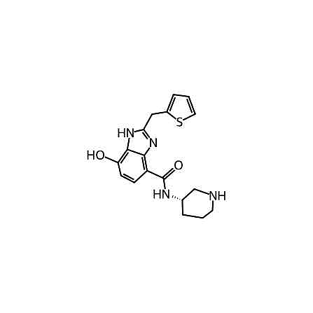 O=C(N[C@H]1CCCNC1)c1ccc(O)c2[nH]c(Cc3cccs3)nc12